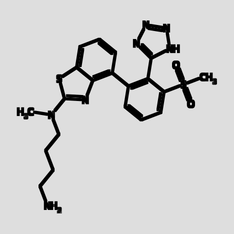 CN(CCCCN)c1nc2c(-c3cccc(S(C)(=O)=O)c3-c3nnn[nH]3)cccc2s1